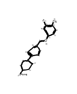 CCCCCC1CCC(c2ccc(COc3ccc(C#N)c(F)c3)cc2)CC1